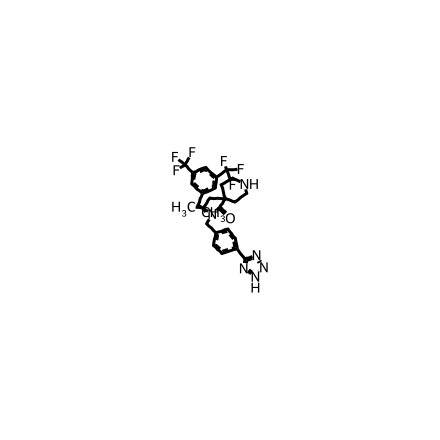 CC(C)CC1(C(=O)N(Cc2ccc(-c3nn[nH]n3)cc2)Cc2cc(C(F)(F)F)cc(C(F)(F)F)c2)CCNCC1